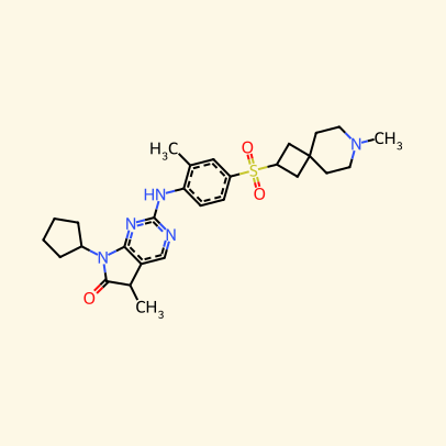 Cc1cc(S(=O)(=O)C2CC3(CCN(C)CC3)C2)ccc1Nc1ncc2c(n1)N(C1CCCC1)C(=O)C2C